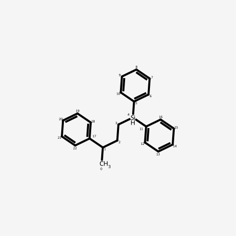 CC(CC[SiH](c1ccccc1)c1ccccc1)c1ccccc1